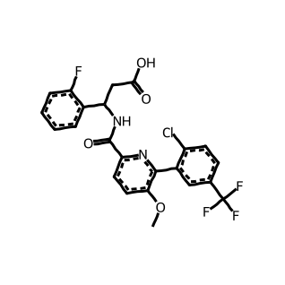 COc1ccc(C(=O)NC(CC(=O)O)c2ccccc2F)nc1-c1cc(C(F)(F)F)ccc1Cl